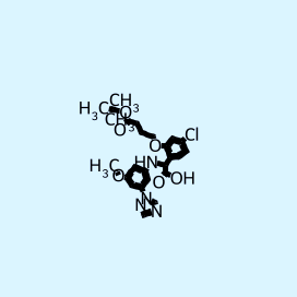 COc1cc(NC(C(=O)O)c2ccc(Cl)cc2OCCCC(=O)OC(C)(C)C)cc(-n2cncn2)c1